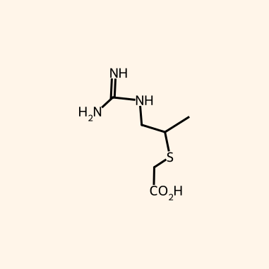 CC(CNC(=N)N)SCC(=O)O